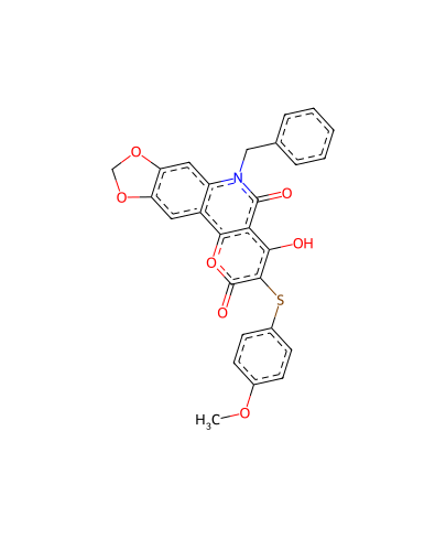 COc1ccc(Sc2c(O)c3c(=O)n(Cc4ccccc4)c4cc5c(cc4c3oc2=O)OCO5)cc1